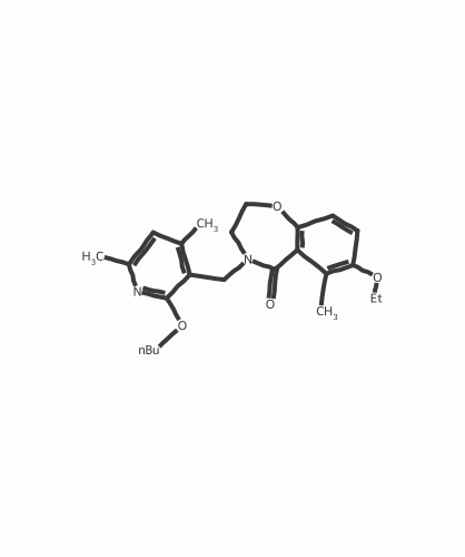 CCCCOc1nc(C)cc(C)c1CN1CCOc2ccc(OCC)c(C)c2C1=O